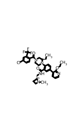 CCOc1ncccc1-c1ccc(N2CCN(C(=O)c3ccc(Cl)cc3C(F)(F)F)C[C@H]2CC)c(C(=O)NC[C@H]2CCN2C)c1